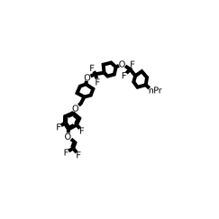 CCCC1CCC(C(F)(F)OC2CCC(C(F)(F)OC3CCC(COc4cc(F)c(OC=C(F)F)c(F)c4)CC3)CC2)CC1